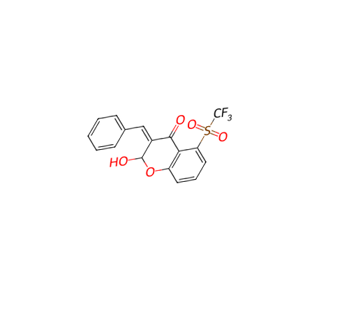 O=C1C(=Cc2ccccc2)C(O)Oc2cccc(S(=O)(=O)C(F)(F)F)c21